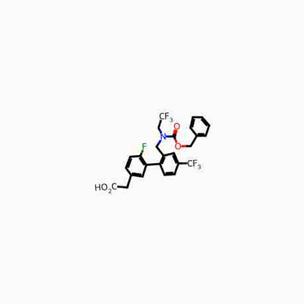 O=C(O)Cc1ccc(F)c(-c2ccc(C(F)(F)F)cc2CN(CC(F)(F)F)C(=O)OCc2ccccc2)c1